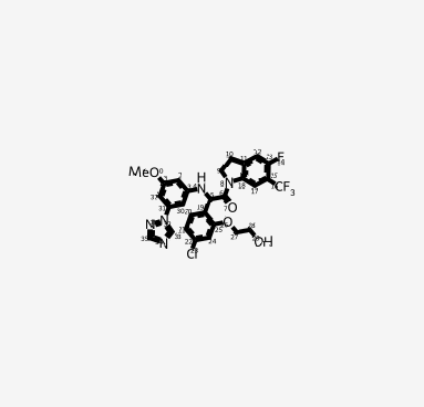 COc1cc(NC(C(=O)N2CCc3cc(F)c(C(F)(F)F)cc32)c2ccc(Cl)cc2OCCO)cc(-n2cncn2)c1